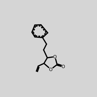 C=CC1OC(=O)OC1CCc1ccccc1